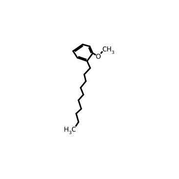 CCCCCCCCCCc1ccccc1OC